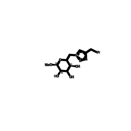 CO[C@H]1OC(Cn2cc(CC(C)C)nn2)[C@@H](O)C(O)[C@H]1O